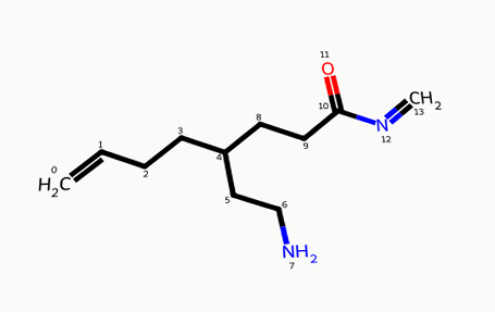 C=CCCC(CCN)CCC(=O)N=C